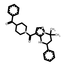 CC1(C)CC(c2ccccc2)Nc2c(C(=O)N3CCC(C(=O)c4ccccc4)CC3)cnn21